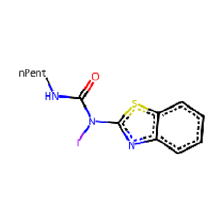 CCCCCNC(=O)N(I)c1nc2ccccc2s1